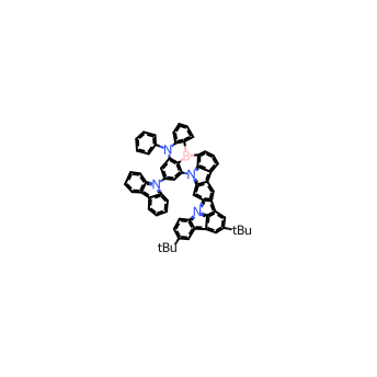 CC(C)(C)c1ccc2c(c1)c1cc(C(C)(C)C)cc3c4cc5c6cccc7c6n(c5cc4n2c13)-c1cc(-n2c3ccccc3c3ccccc32)cc2c1B7c1ccccc1N2c1ccccc1